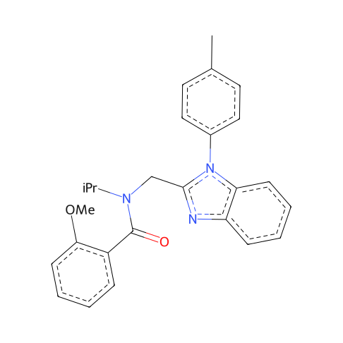 COc1ccccc1C(=O)N(Cc1nc2ccccc2n1-c1ccc(C)cc1)C(C)C